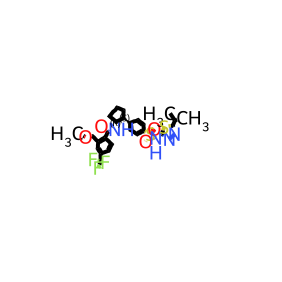 COCc1cc(C(F)(F)F)ccc1C(=O)N[C@@H]1CCC[C@H]1c1ccc(S(=O)(=O)Nc2nnc(C(C)C)s2)cc1